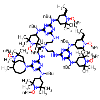 C/C=C1\CC(N(CCCC)c2nc(NCCN(CCNc3nc(N(CCCC)C4C/C(=C\C)N(OCCC)C(C)(C)C4)nc(N(CCCC)C4CC(C)(C)N(OCCC)C(C)(C)C4)n3)CCNc3nc(N(CCCC)C4CC(C)(C)N(OCCC)C(C)(C)C4)nc(N4CCCC(C)C5(C)CC4CC(C)(C)N5OCCC)n3)nc(N(CCCC)C3CC(C)(C)N(OCCC)C(C)(C)C3)n2)C=C(C)N1OCCC